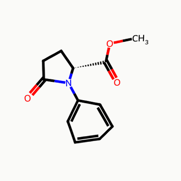 COC(=O)[C@H]1CCC(=O)N1c1ccccc1